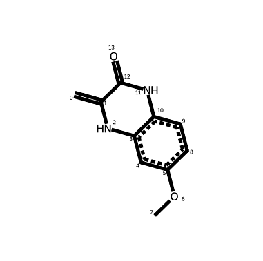 C=C1Nc2cc(OC)ccc2NC1=O